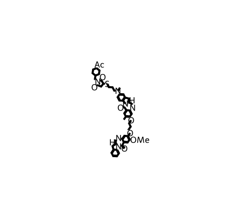 COc1cc2c(cc1OCCCOc1cc3c(cc1C)C(=O)N1c4ccc(N(C)CCCSC5CC(=O)N(CC6CCC(C(C)=O)CC6)C5=O)cc4C[C@H]1C=N3)N=C[C@@H]1Cc3ccccc3N1C2=O